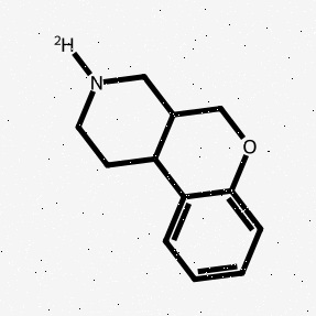 [2H]N1CCC2c3ccccc3OCC2C1